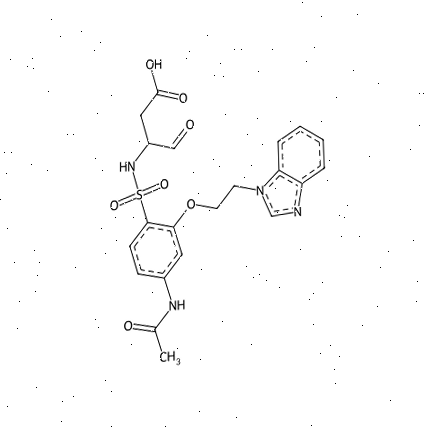 CC(=O)Nc1ccc(S(=O)(=O)NC(C=O)CC(=O)O)c(OCCn2cnc3ccccc32)c1